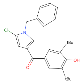 CC(C)(C)c1cc(C(=O)c2cc(Cl)n(Cc3ccccc3)c2)cc(C(C)(C)C)c1O